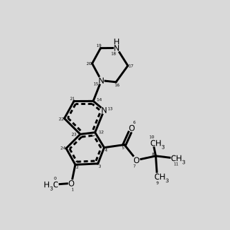 COc1cc(C(=O)OC(C)(C)C)c2nc(N3CCNCC3)ccc2c1